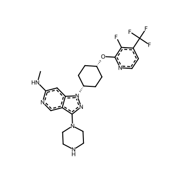 CNc1cc2c(cn1)c(N1CCNCC1)nn2[C@H]1CC[C@@H](Oc2nccc(C(F)(F)F)c2F)CC1